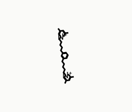 Cc1cc(C)c[n+](CCCCCc2cccc(CCCCC[n+]3cc(C)cc(C)c3)c2)c1